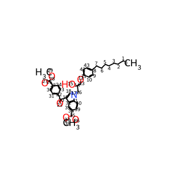 CCCCCCCCc1ccc(OCC(O)Cn2cc(C(=O)c3ccc(C(=O)OC)cc3)c3cc(C(=O)OC)ccc32)cc1